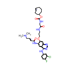 CN(C)C/C=C/C(=O)Nc1cc2c(Nc3ccc(F)c(Cl)c3)ncnc2cc1OCCCNC(=O)CNC(=O)OC1CC/C=C/CCC1